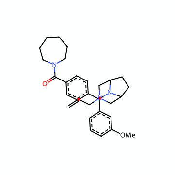 C=CCN1CC2CCC(C1)N2C(c1ccc(C(=O)N2CCCCCC2)cc1)c1cccc(OC)c1